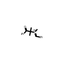 CC(C)/C=[PH](\C)C(C)(C)C(=O)C(C)C